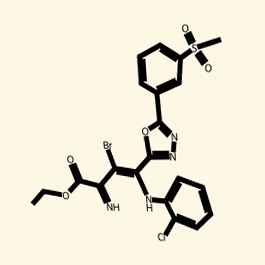 CCOC(=O)C(=N)/C(Br)=C(\Nc1ccccc1Cl)c1nnc(-c2cccc(S(C)(=O)=O)c2)o1